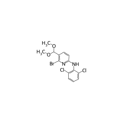 COC(OC)c1ccc(Nc2c(Cl)cccc2Cl)nc1Br